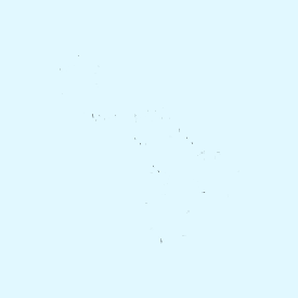 COc1ccccc1CCC(=O)NC1N=C(c2ccccc2)c2ccccc2NC1=O